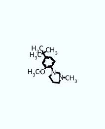 COc1cc(C(C)(C)C)ccc1N1CCCN(C)C1